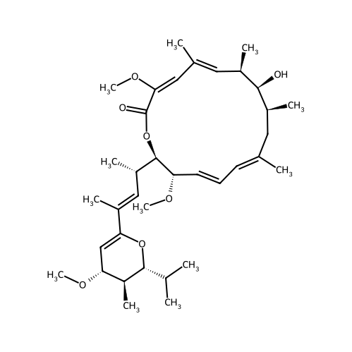 CO/C1=C\C(C)=C\[C@@H](C)[C@@H](O)[C@@H](C)C/C(C)=C/C=C/[C@H](OC)[C@@H]([C@@H](C)/C=C(\C)C2=C[C@@H](OC)[C@H](C)[C@@H](C(C)C)O2)OC1=O